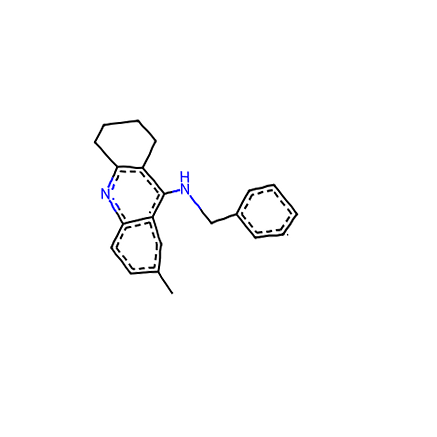 Cc1ccc2nc3c(c(NCc4c[c]ccc4)c2c1)CCCC3